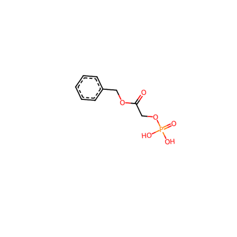 O=C(COP(=O)(O)O)OCc1ccccc1